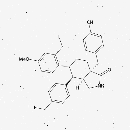 COc1ccc([C@@H]2CC[C@@]3(Cc4ccc(C#N)cc4)C(=O)NC[C@H]3[C@H]2c2ccc(CI)cc2)c(CI)c1